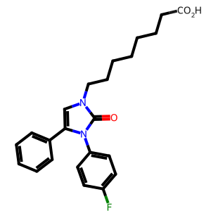 O=C(O)CCCCCCCn1cc(-c2ccccc2)n(-c2ccc(F)cc2)c1=O